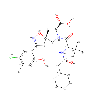 COC(=O)[C@@H]1C[C@]2(CC(c3cc(Cl)c(C)cc3OC)=NO2)CN1C(=O)[C@@H](NC(=O)CC1CCCCC1)C(C)(C)C